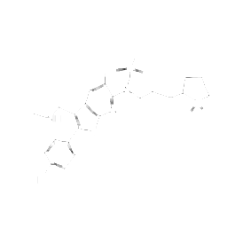 CNCc1c(-c2ccc(F)cc2)oc2nc(N(CCCC3CCCS3(=O)=O)S(C)(=O)=O)c(I)cc12